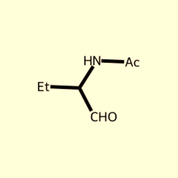 CCC(C=O)NC(C)=O